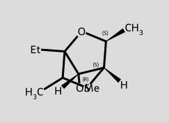 CCC12O[C@@H](C)[C@H](SC1C)[C@@H]2OC